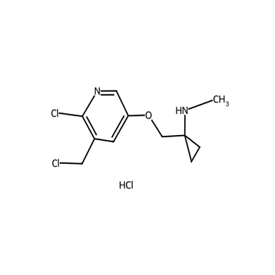 CNC1(COc2cnc(Cl)c(CCl)c2)CC1.Cl